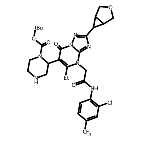 CCc1c(C2CNCCN2C(=O)OC(C)(C)C)c(=O)n2nc(C3C4COCC43)nc2n1CC(=O)Nc1ccc(C(F)(F)F)cc1Cl